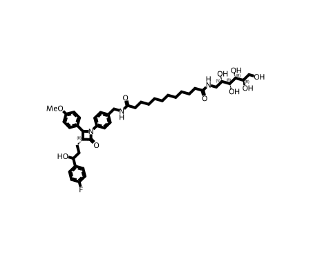 COc1ccc(C2[C@@H](CCC(O)c3ccc(F)cc3)C(=O)N2c2ccc(CNC(=O)CCCCCCCCCCC(=O)NC[C@H](O)[C@@H](O)[C@H](O)[C@H](O)CO)cc2)cc1